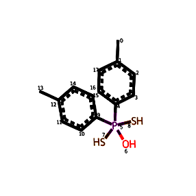 Cc1ccc(P(O)(S)(S)c2ccc(C)cc2)cc1